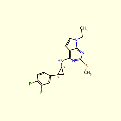 CCn1ccc2c(N[C@H]3C[C@H]3c3ccc(F)c(F)c3)nc(SC)nc21